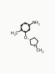 Cc1ccc(N)cc1O[C@@H]1CCN(C)C1